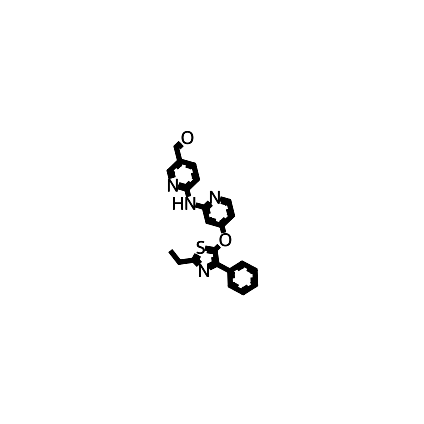 CCc1nc(-c2ccccc2)c(Oc2ccnc(Nc3ccc(C=O)cn3)c2)s1